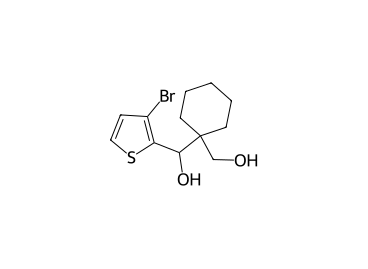 OCC1(C(O)c2sccc2Br)CCCCC1